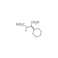 CCOC(=O)C(=C1CCCCC1)C(C)C(=O)OCC